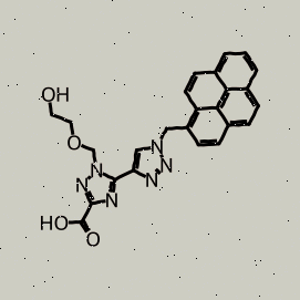 O=C(O)c1nc(-c2cn(Cc3ccc4ccc5cccc6ccc3c4c56)nn2)n(COCCO)n1